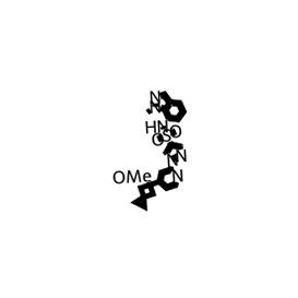 COC1(c2ccnc(-n3cc(S(=O)(=O)Nc4cccc5cnn(C)c45)cn3)c2)CC2(CC2)C1